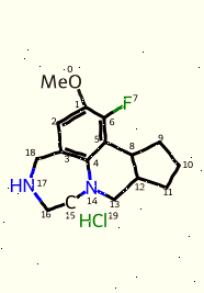 COc1cc2c3c(c1F)C1CCCC1CN3CCNC2.Cl